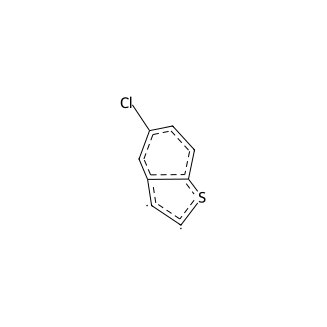 Clc1ccc2s[c][c]c2c1